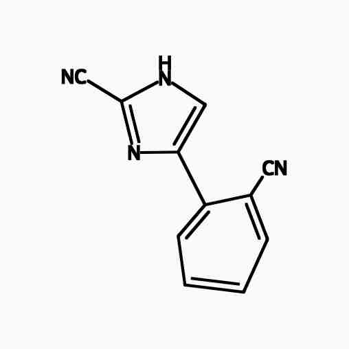 N#Cc1nc(-c2ccccc2C#N)c[nH]1